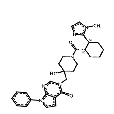 Cn1ccnc1[C@H]1CCCC[C@@H]1C(=O)N1CCC(O)(Cn2cnc3c(ccn3-c3ccccc3)c2=O)CC1